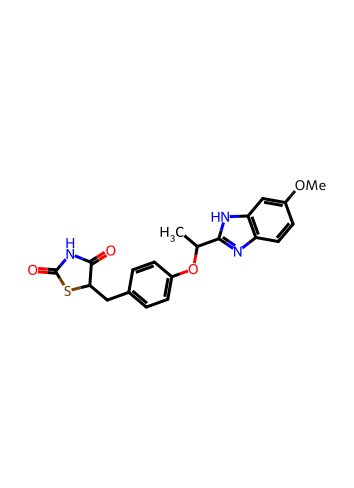 COc1ccc2nc(C(C)Oc3ccc(CC4SC(=O)NC4=O)cc3)[nH]c2c1